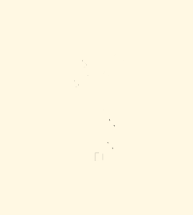 CCN(C)C=Nc1cc(C)c(C2(c3ccccc3)SCCS2)cc1C